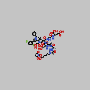 C[C@H](NC(=O)[C@H](C)N(C)CCCCCC(=O)ON1C(=O)CCC1=O)C(=O)N[C@H](C)C(=O)N[C@@H](CC(=O)O)C(=O)N[C@@H](CCN(C(=O)CO)[C@@H](c1cc(-c2cc(F)ccc2F)cn1Cc1ccccc1)C(C)(C)C)C(=O)NCCC(=O)N[C@H](CCC(=O)O)C(=O)O